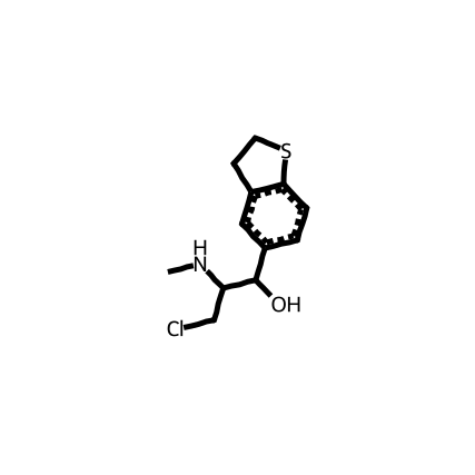 CNC(CCl)C(O)c1ccc2c(c1)CCS2